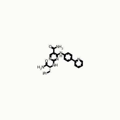 CC(C)C[C@@H](Nc1ncc(C(N)=O)c(Nc2ccc(-c3ccccn3)cc2)n1)C(N)=O